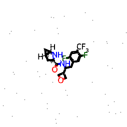 O=C(NC(Cc1cc(F)c(C(F)(F)F)cc1F)C1COC1)[C@H]1C[C@H]2C[C@H]2N1